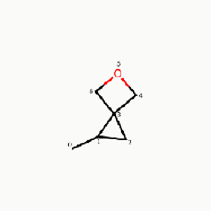 CC1CC12COC2